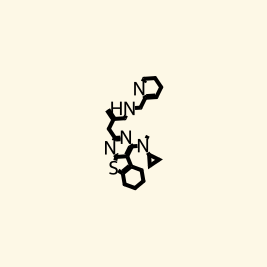 C=C(CNCC1=CCCC=N1)Cc1nc(N(C)C2CC2)c2c3c(sc2n1)CCCC3